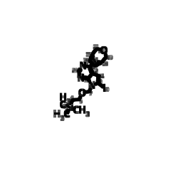 C[Si](C)(C)CCOCn1c(I)cc2c(N3C4CCC3COC4)ncnc21